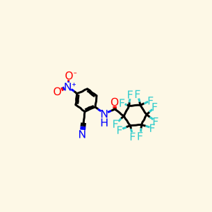 N#Cc1cc([N+](=O)[O-])ccc1NC(=O)C1(F)C(F)(F)C(F)(F)C(F)(F)C(F)(F)C1(F)F